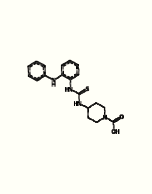 O=C(O)N1CCC(NC(=S)Nc2ccccc2Nc2ccccc2)CC1